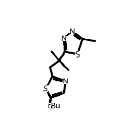 Cc1nnc(C(C)(C)Cc2ncc(C(C)(C)C)s2)s1